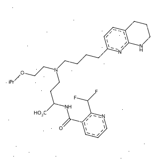 CC(C)OCCN(CCCCc1ccc2c(n1)NCCC2)CCC(NC(=O)c1cccnc1C(F)F)C(=O)O